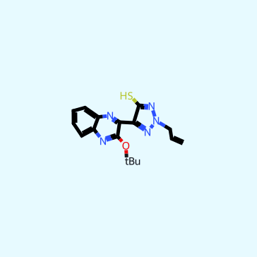 C=CCn1nc(S)c(-c2nc3ccccc3nc2OC(C)(C)C)n1